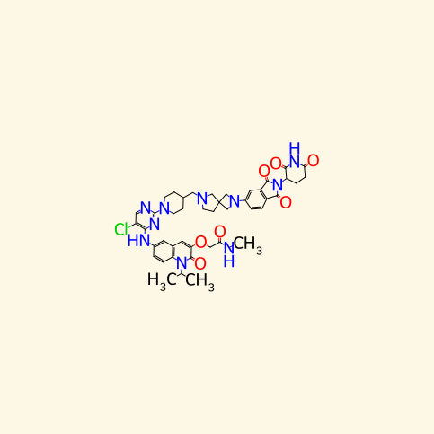 CNC(=O)COc1cc2cc(Nc3nc(N4CCC(CN5CCC6(C5)CN(c5ccc7c(c5)C(=O)N(C5CCC(=O)NC5=O)C7=O)C6)CC4)ncc3Cl)ccc2n(C(C)C)c1=O